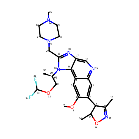 COc1cc2c(cc1C1C(C)=NOC1C)ncc1nc(CN3CCN(C)CC3)n([C@H](C)COC(F)F)c12